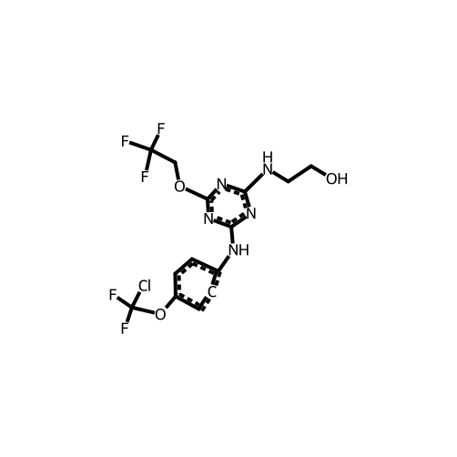 OCCNc1nc(Nc2ccc(OC(F)(F)Cl)cc2)nc(OCC(F)(F)F)n1